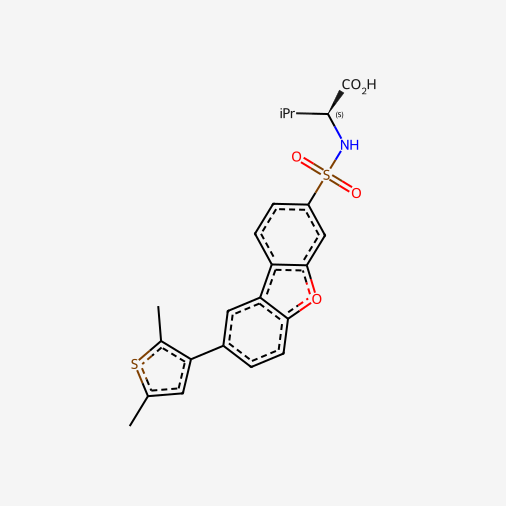 Cc1cc(-c2ccc3oc4cc(S(=O)(=O)N[C@H](C(=O)O)C(C)C)ccc4c3c2)c(C)s1